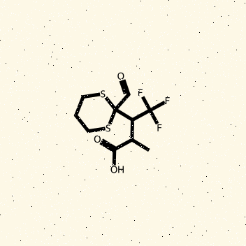 CC(C(=O)O)C(C(F)(F)F)C1(C=O)SCCCS1